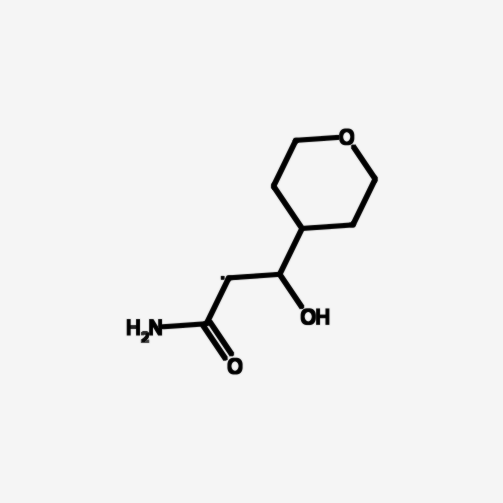 NC(=O)[CH]C(O)C1CCOCC1